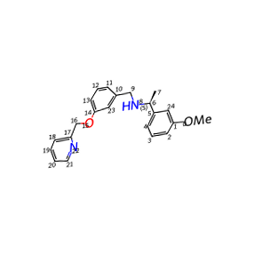 COc1cccc([C@H](C)NCc2cccc(OCc3ccccn3)c2)c1